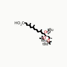 CC(=C\C=C\C(C)=C\[C@@H](O[Si](C)(C)C(C)(C)C)[C@@H](C[C@@H](C)O[Si](C)(C)C(C)(C)C)O[Si](C)(C)C(C)(C)C)/C=C(C)/C=C/C(=O)O